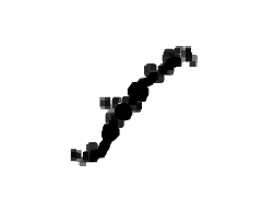 C=CC(=O)CC#Cc1ccc(C(=O)Oc2ccc(OC(=O)c3ccc(/C=C/C(=O)OCOC(=O)C=C)cc3)c(C)c2)cc1